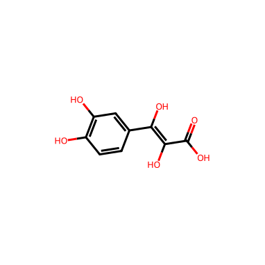 O=C(O)C(O)=C(O)c1ccc(O)c(O)c1